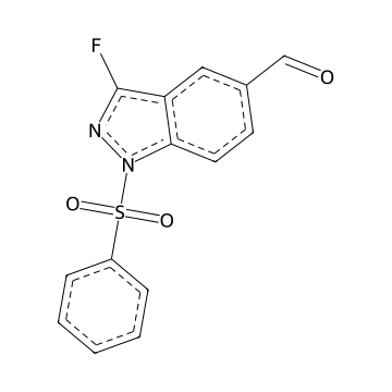 O=Cc1ccc2c(c1)c(F)nn2S(=O)(=O)c1ccccc1